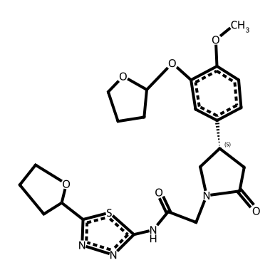 COc1ccc([C@@H]2CC(=O)N(CC(=O)Nc3nnc(C4CCCO4)s3)C2)cc1OC1CCCO1